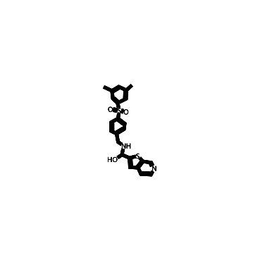 Cc1cc(C)cc(S(=O)(=O)c2ccc(CNC(O)c3cc4ccncc4s3)cc2)c1